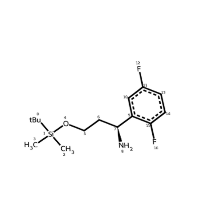 CC(C)(C)[Si](C)(C)OCC[C@H](N)c1cc(F)ccc1F